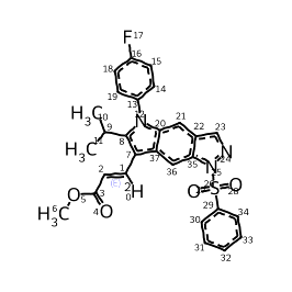 [2H]/C(=C\C(=O)OC)c1c(C(C)C)n(-c2ccc(F)cc2)c2cc3cnn(S(=O)(=O)c4ccccc4)c3cc12